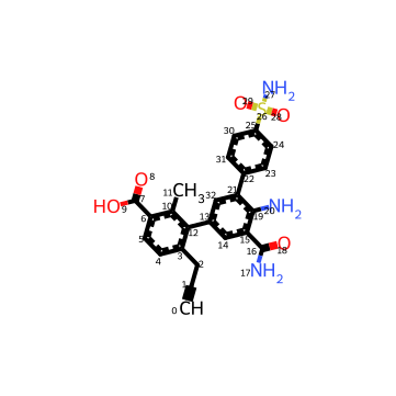 C#CCc1ccc(C(=O)O)c(C)c1-c1cc(C(N)=O)c(N)c(-c2ccc(S(N)(=O)=O)cc2)c1